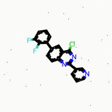 Fc1cccc(-c2ccc3nc(-c4cccnc4)nc(Cl)c3c2)c1F